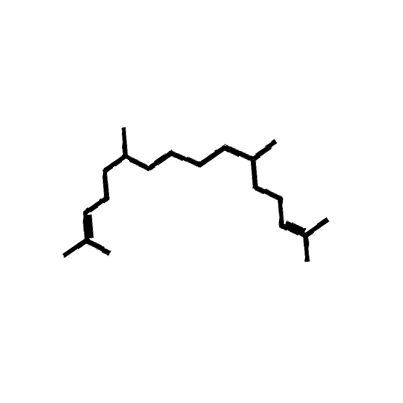 CC(C)=CCCC(C)C[CH]CCC(C)CCC=C(C)C